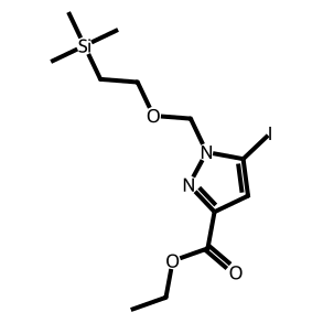 CCOC(=O)c1cc(I)n(COCC[Si](C)(C)C)n1